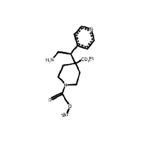 CCOC(=O)C1(C(CN)c2ccncc2)CCN(C(=O)OC(C)(C)C)CC1